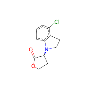 O=C1OCC[C@@H]1N1CCc2c(Cl)cccc21